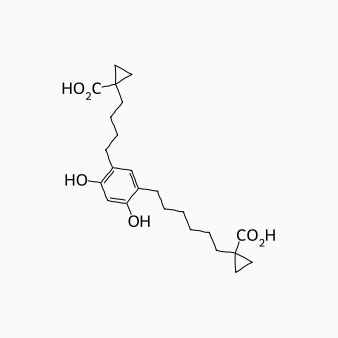 O=C(O)C1(CCCCCCc2cc(CCCCC3(C(=O)O)CC3)c(O)cc2O)CC1